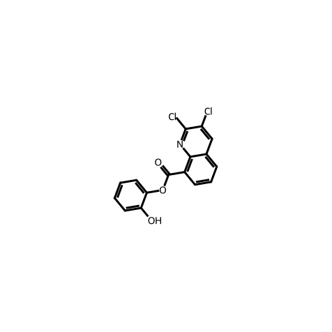 O=C(Oc1ccccc1O)c1cccc2cc(Cl)c(Cl)nc12